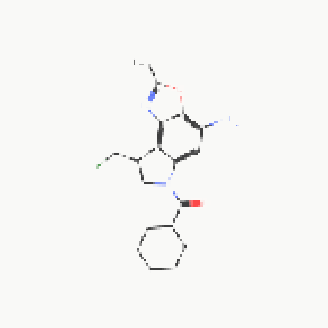 Cc1nc2c3c(cc(N)c2o1)N(C(=O)C1CCCCC1)CC3CCl